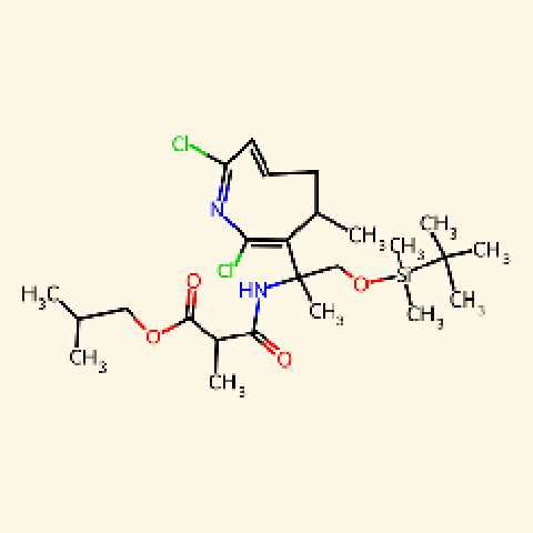 CC(C)COC(=O)C(C)C(=O)NC(C)(CO[Si](C)(C)C(C)(C)C)/C1=C(Cl)/N=C(Cl)\C=C\CC1C